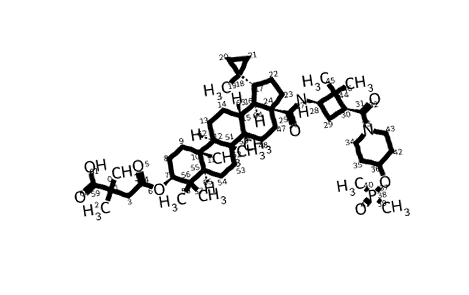 CC(C)(CC(=O)O[C@H]1CC[C@]2(C)[C@H]3CC[C@@H]4[C@H]5[C@H](C6(C)CC6)CC[C@]5(C(=O)N[C@@H]5C[C@H](C(=O)N6CCC(OP(C)(C)=O)CC6)C5(C)C)CC[C@@]4(C)[C@]3(C)CC[C@H]2C1(C)C)C(=O)O